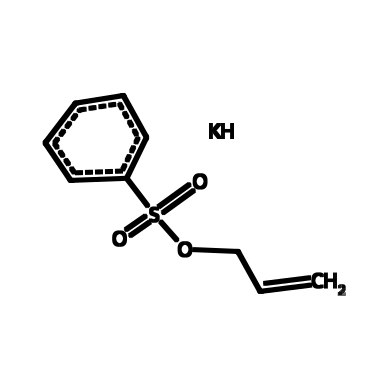 C=CCOS(=O)(=O)c1ccccc1.[KH]